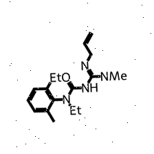 C=CCN=C(NC)NC(=O)N(CC)c1c(C)cccc1CC